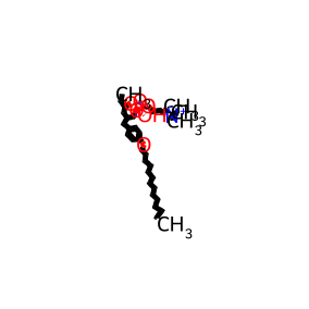 CCCCCCCCCCCCCCOc1ccc(CC(COP(=O)(O)OCCC[N+](C)(C)C)CC(=O)CC)cc1